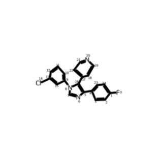 Fc1ccc(-c2ncn(-c3cccc(Cl)c3)c2-c2ccncc2)cc1